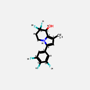 OC1c2c(C(F)(F)F)cc(-c3cc(F)c(F)c(F)c3)n2CCC1(F)F